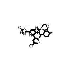 CC1CCC(C(C)n2c(N3CCOC[C@H]3C)nc3cc(-c4noc(=O)[nH]4)nc(-c4cncc(Cl)c4)c32)CC1